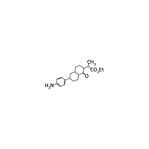 CCOC(=O)C(C)C1CCC2CC(c3ccc(N)cc3)CCC2C1=O